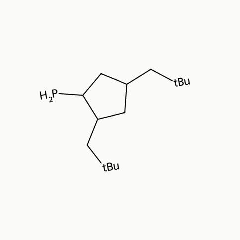 CC(C)(C)CC1CC(P)C(CC(C)(C)C)C1